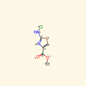 CCOC(=O)c1csc(NCl)n1